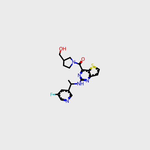 CC(Nc1nc(C(=O)N2CCC(CO)C2)c2sccc2n1)c1cncc(F)c1